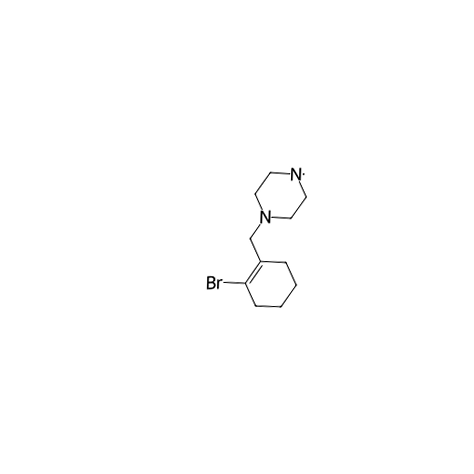 BrC1=C(CN2CC[N]CC2)CCCC1